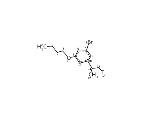 CCCCOc1cc(Br)cc([C](C)CF)c1